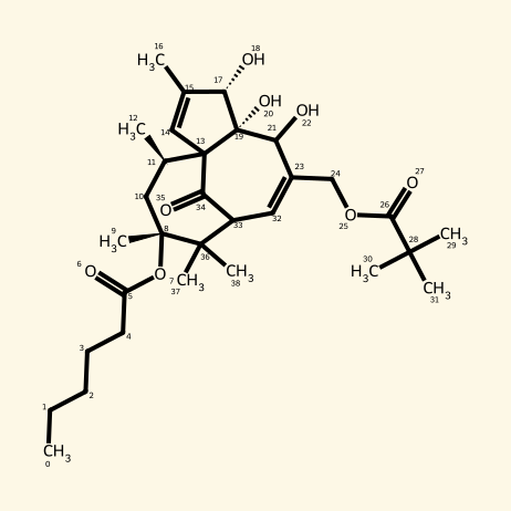 CCCCCC(=O)O[C@]1(C)C[C@@H](C)C23C=C(C)[C@H](O)[C@@]2(O)C(O)C(COC(=O)C(C)(C)C)=CC(C3=O)C1(C)C